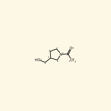 O=C(N1CCC(CO)C1)C(F)(F)F